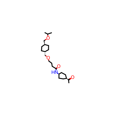 CC(=O)[C@H]1CC[C@@H](NC(=O)CCCOC[C@H]2CC[C@H](COC(C)C)CC2)CC1